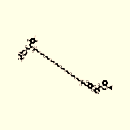 O=C(CCc1cc(Cl)c(Oc2ccncc2C(=O)N2CCN(C3CC3)c3ccccc32)cc1Cl)NCCOCCOCCOCCOCCOCCOCCOCCOCCC(=O)N[C@@H](CC(=O)N1CCn2c(nnc2C(F)(F)F)C1)Cc1cc(F)c(F)cc1F